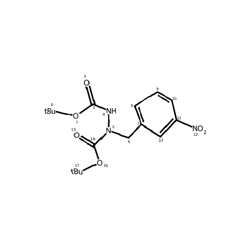 CC(C)(C)OC(=O)NN(Cc1cccc([N+](=O)[O-])c1)C(=O)OC(C)(C)C